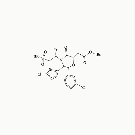 CC[C@@H](CS(=O)(=O)C(C)(C)C)N1C(=O)C(CC(=O)OC(C)(C)C)OC(c2cccc(Cl)c2)C1c1ccc(Cl)s1